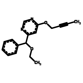 CC#CCOc1cc(C(OCC)c2ccccc2)ncn1